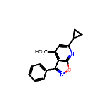 O=C(O)c1cc(C2CC2)nc2onc(-c3ccccc3)c12